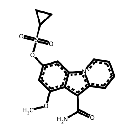 COc1cc(OS(=O)(=O)C2CC2)cc2c1c(C(N)=O)c1ccccn12